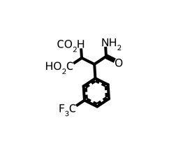 NC(=O)C(c1cccc(C(F)(F)F)c1)C(C(=O)O)C(=O)O